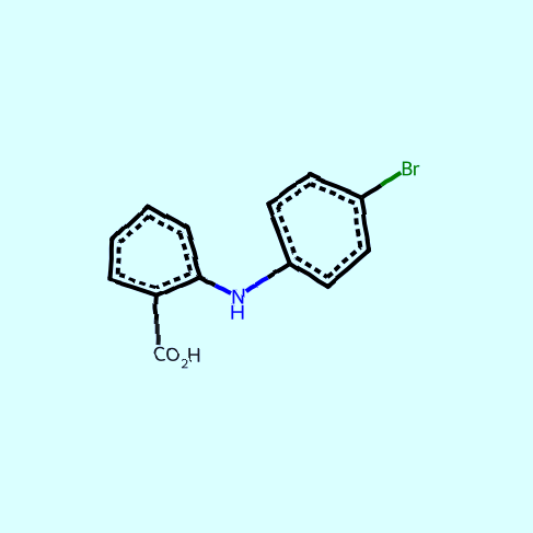 O=C(O)c1ccccc1Nc1ccc(Br)cc1